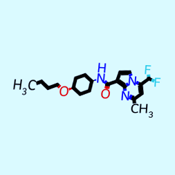 CCCCO[C@H]1CC[C@H](NC(=O)c2ccn3c(C(F)F)cc(C)nc23)CC1